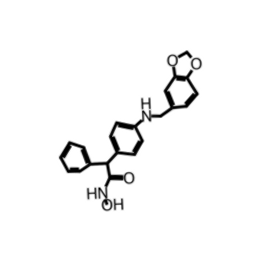 O=C(NO)C(c1ccccc1)c1ccc(NCc2ccc3c(c2)OCO3)cc1